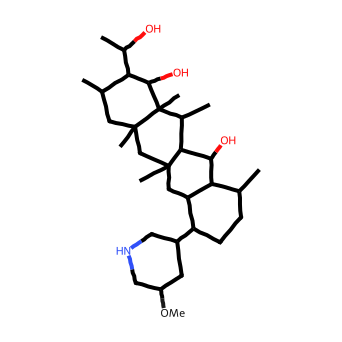 COC1CNCC(C2CCC(C)C3C(O)C4C(C)C5(C)C(O)C(C(C)O)C(C)CC5(C)CC4(C)CC23)C1